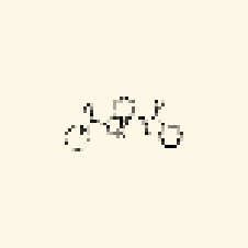 O=C(c1cnn2c(N3Cc4ccccc4C3=O)cccc12)N1CCCCC1